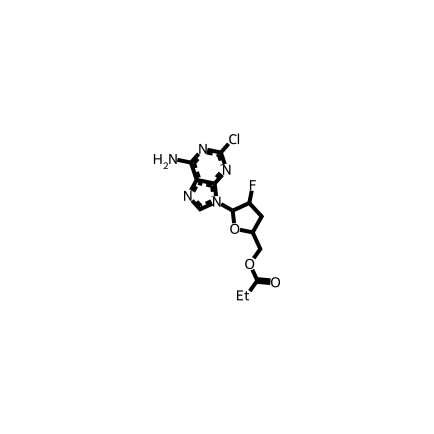 CCC(=O)OCC1CC(F)C(n2cnc3c(N)nc(Cl)nc32)O1